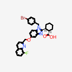 O=C(O)[C@H]1CCCC[C@@H]1c1nc2cc(OCc3ccc4cccc(F)c4n3)ccc2n1Cc1ccc(Br)cc1